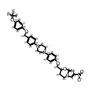 O=[N+]([O-])c1cn2c(n1)OC(COc1ccc(N3CCN(c4ccc(COc5ccc(OC(F)(F)F)cc5)cc4)CC3)cc1)CC2